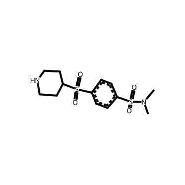 CN(C)S(=O)(=O)c1ccc(S(=O)(=O)C2CCNCC2)cc1